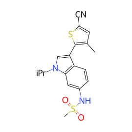 Cc1cc(C#N)sc1-c1cn(C(C)C)c2cc(NS(C)(=O)=O)ccc12